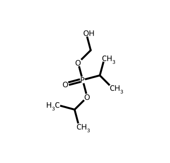 CC(C)OP(=O)(OCO)C(C)C